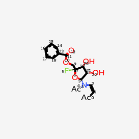 CC(=O)/C=C\N(C(C)=O)[C@@H]1O[C@](F)(COC(=O)c2ccccc2)[C@@H](O)[C@H]1O